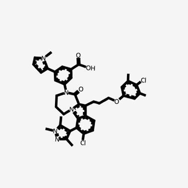 Cc1cc(OCCCc2c3n(c4c(-c5c(C)nn(C)c5C)c(Cl)ccc24)CCCN(c2cc(C(=O)O)cc(-c4cccn4C)c2)C3=O)cc(C)c1Cl